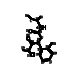 CCC(C)NC(=O)CN(C(=O)C(C)Cl)c1ccccc1C